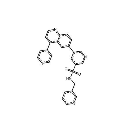 O=S(=O)(NCc1cccnc1)c1cncc(-c2ccc3nccc(-c4ccncc4)c3c2)c1